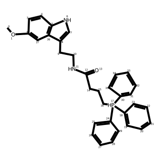 COc1ccc2[nH]cc(CCNC(=O)CCC[PH](c3ccccc3)(c3ccccc3)c3ccccc3)c2c1